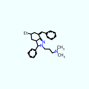 CCC1C/C(=C/c2ccccc2)C2=NN(CCCN(C)C)C(c3ccccc3)C2C1